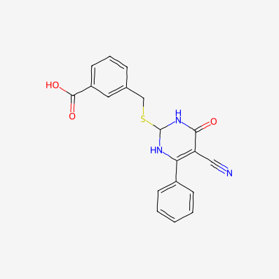 N#CC1=C(c2ccccc2)NC(SCc2cccc(C(=O)O)c2)NC1=O